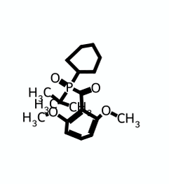 COc1cccc(OC)c1C(=O)P(=O)(C1CCCCC1)C(C)(C)C